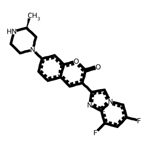 C[C@H]1CN(c2ccc3cc(-c4cn5cc(F)cc(F)c5n4)c(=O)oc3c2)CCN1